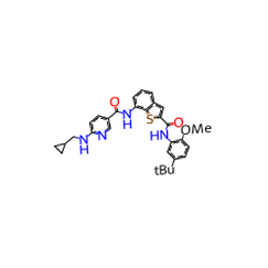 COc1ccc(C(C)(C)C)cc1NC(=O)c1cc2cccc(NC(=O)c3ccc(NCC4CC4)nc3)c2s1